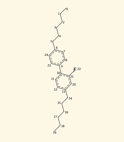 CCCCCCc1ccc(-c2ccc(CCCCCC)cc2F)cc1